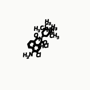 CC1(C)CC(N2C(=O)c3cccc4c(N)c(Cl)cc(c34)C2=O)CC(C)(C)N1.Cl